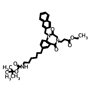 CCOC(=O)CCN1CC(=O)N(Cc2ccc3ccccc3c2)c2ccc(CCCCCCNC(=O)OC(C)(C)C)cc2C1=O